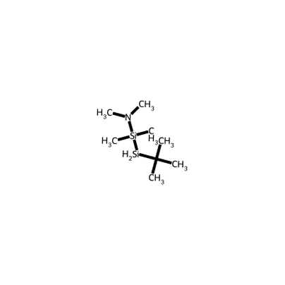 CN(C)[Si](C)(C)[SiH2]C(C)(C)C